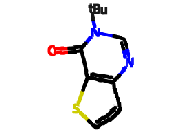 CC(C)(C)n1cnc2ccsc2c1=O